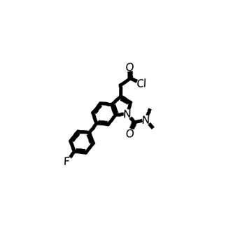 CN(C)C(=O)n1cc(CC(=O)Cl)c2ccc(-c3ccc(F)cc3)cc21